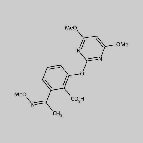 CO/N=C(/C)c1cccc(Oc2nc(OC)cc(OC)n2)c1C(=O)O